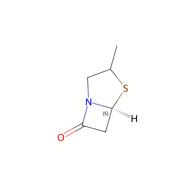 CC1CN2C(=O)C[C@@H]2S1